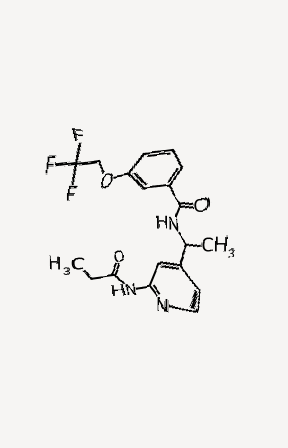 CCC(=O)Nc1cc(C(C)NC(=O)c2cccc(OCC(F)(F)F)c2)ccn1